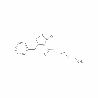 COCCCCC(=O)N1C(=O)OCC1Cc1ccccc1